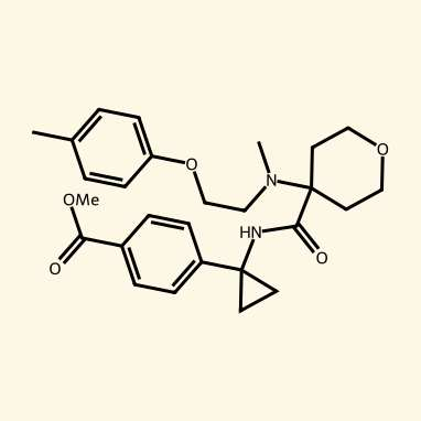 COC(=O)c1ccc(C2(NC(=O)C3(N(C)CCOc4ccc(C)cc4)CCOCC3)CC2)cc1